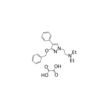 CCN(CC)CCn1cc(-c2ccccc2)c(OCc2ccccc2)n1.O=C(O)C(=O)O